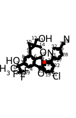 CC(O)(c1cc2c3c(c1)C1CC1(CO)CO[C@@]3(c1ccc(Cl)cc1)N(Cc1ccc(C#N)cn1)C2=O)C(F)(F)F